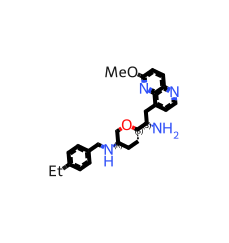 CCc1ccc(CN[C@@H]2CC[C@@H]([C@@H](N)Cc3ccnc4ccc(OC)nc34)OC2)cc1